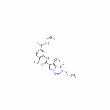 CCCN1C=NN2CC(C(=O)Nc3cc(C(=O)NCC)ccc3C)C(C)=C2C1=O